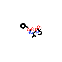 CC(C)C(NC(=O)OCc1ccccc1)C(=O)N1CCC[C@@]1(C)C(=O)O